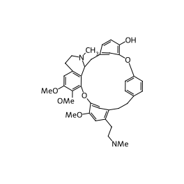 CNCCc1cc(OC)c2cc1CCc1ccc(cc1)Oc1cc(ccc1O)CC1c3c(cc(OC)c(OC)c3O2)CCN1C